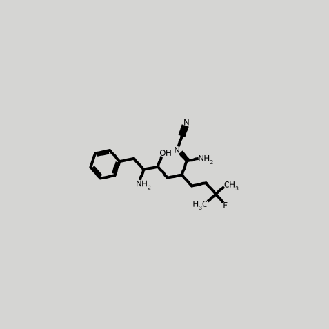 CC(C)(F)CCC(CC(O)C(N)Cc1ccccc1)C(N)=NC#N